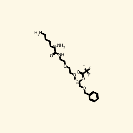 NCCCC[C@H](N)C(=O)NCCOCCOC[C@@H](COCc1ccccc1)OC(=O)C(F)(F)F